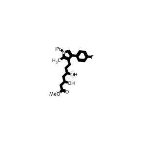 COC(=O)CC(O)CC(O)CCc1c(-c2ccc(F)cc2)cn(C(C)C)c1C